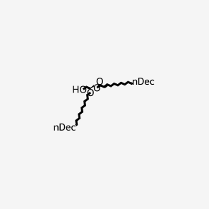 CCCCCCCCCCCCCCCCCC=CC(=O)OC[C@H](CO)OCCCCCCCCCCCCCCCCCCCC